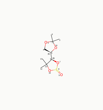 CC1(C)OC[C@H]([C@H]2OS(=O)OC2(C)C)O1